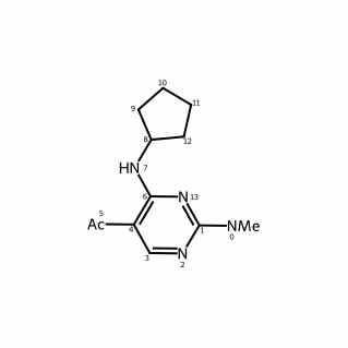 CNc1ncc(C(C)=O)c(NC2CCCC2)n1